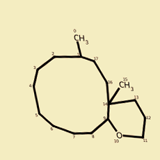 CC1CCCCCCCC2OCCCC2(C)CC1